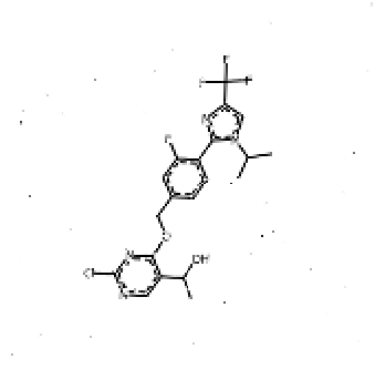 CC(O)c1cnc(Cl)nc1OCc1ccc(-c2nc(C(F)(F)F)cn2C(C)C)c(F)c1